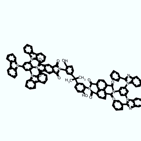 CC(C)(c1ccc(O)c(N2C(=O)c3ccc4c5c(ccc(c35)C2=O)C(=O)N(c2cc(-n3c(-c5ccccc5)nc5ccccc53)cc(-n3c(-c5ccccc5)nc5ccccc53)c2)C4=O)c1)c1ccc(O)c(-n2c(=O)c3cc4c(=O)n(-c5c(-n6c7ccccc7c7ccccc76)cc(-n6c7ccccc7c7ccccc76)cc5-n5c6ccccc6c6ccccc65)c(=O)c4cc3c2=O)c1